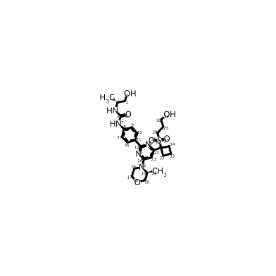 C[C@H](CO)NC(=O)Nc1ccc(-c2nc(N3CCOC[C@@H]3C)cc(C3(S(=O)(=O)CCCO)CCC3)n2)cc1